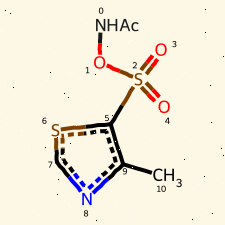 CC(=O)NOS(=O)(=O)c1scnc1C